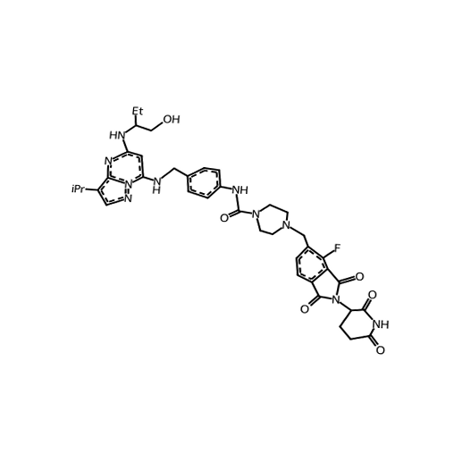 CCC(CO)Nc1cc(NCc2ccc(NC(=O)N3CCN(Cc4ccc5c(c4F)C(=O)N(C4CCC(=O)NC4=O)C5=O)CC3)cc2)n2ncc(C(C)C)c2n1